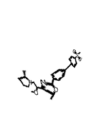 COC(CN1CCC[C@H]1C)c1nc(-c2ccc(-c3ccc(S(C)(=O)=O)cc3)cc2)oc1C